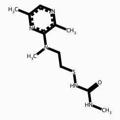 CNC(=O)NSCCN(C)c1nc(C)cnc1C